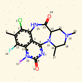 Cc1c(Cl)c2c3c(nc(=O)n(I)c3c1F)N1C(C)CN(C)CC1C(=O)N2